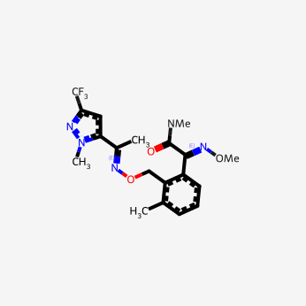 CNC(=O)/C(=N/OC)c1cccc(C)c1CO/N=C(\C)c1cc(C(F)(F)F)nn1C